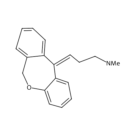 CNCC/C=C1/c2ccccc2COc2ccccc21